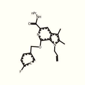 C=CCn1c(C)c(C)c2cc(C(=O)NCCC)nc(OCc3ccc(F)cc3)c21